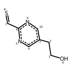 OCCc1cnc(C=S)nc1